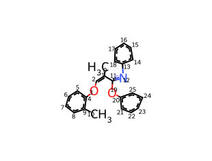 CC(=COc1ccccc1C)/C(=N\c1ccccc1)Oc1ccccc1